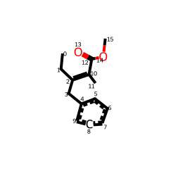 CCC(Cc1ccccc1)=C(C)C(=O)OC